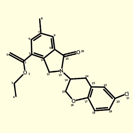 C=C(OCC)c1cc(C)cc2c1CN(C1COc3ccc(Cl)cc3C1)C2=O